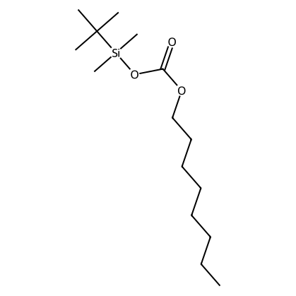 CCCCCCCCOC(=O)O[Si](C)(C)C(C)(C)C